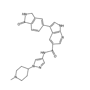 CN1CCC(n2cc(NC(=O)c3cnc4[nH]cc(-c5ccc6c(c5)CNC6=O)c4c3)cn2)CC1